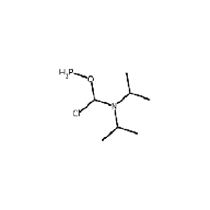 CC(C)N(C(C)C)C(Cl)OP